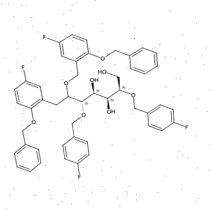 OC[C@@H](OCc1ccc(F)cc1)[C@@H](O)[C@H](O)[C@H](OCc1ccc(F)cc1)C(Cc1cc(F)ccc1OCc1ccccc1)OCc1cc(F)ccc1OCc1ccccc1